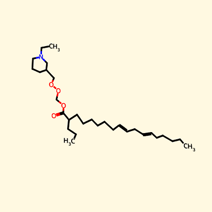 CCCCCC=CCC=CCCCCCCC(CCC)C(=O)OCOOCC1CCCN(CC)C1